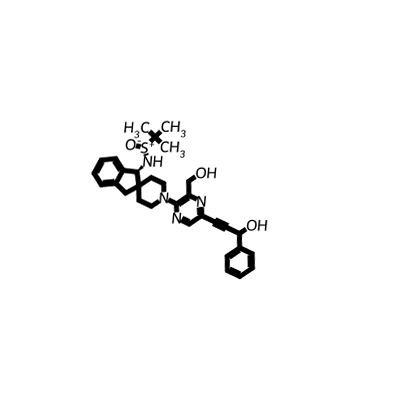 CC(C)(C)[S+]([O-])N[C@@H]1c2ccccc2CC12CCN(c1ncc(C#CC(O)c3ccccc3)nc1CO)CC2